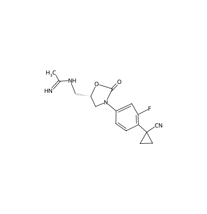 CC(=N)NC[C@H]1CN(c2ccc(C3(C#N)CC3)c(F)c2)C(=O)O1